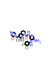 CN1CCN(Cc2cc3c(nc2C=O)N(C(=O)Nc2cc(Nc4ccc(F)c(Cl)c4)c(N)cn2)CCC3)C(=O)C1